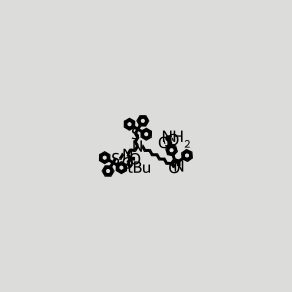 CC(C)(C)OC(=O)N(CCSC(c1ccccc1)(c1ccccc1)c1ccccc1)CCN(CCCCCCCCc1onc(-c2ccccc2)c1-c1ccc(S(N)(=O)=O)cc1)CCSC(c1ccccc1)(c1ccccc1)c1ccccc1